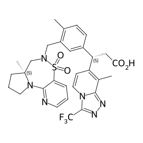 Cc1ccc([C@H](CC(=O)O)c2ccn3c(C(F)(F)F)nnc3c2C)cc1CN1C[C@]2(C)CCCN2c2ncccc2S1(=O)=O